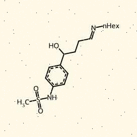 CCCCCCN=CCCC(O)c1ccc(NS(C)(=O)=O)cc1